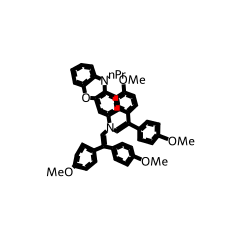 CCCN1c2ccccc2Oc2cc(N(C=C(c3ccc(OC)cc3)c3ccc(OC)cc3)C=C(c3ccc(OC)cc3)c3ccc(OC)cc3)ccc21